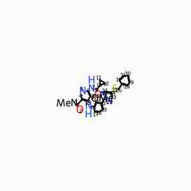 CNC(=O)c1cnc(NC(=O)C2CC2)cc1Nc1cccc(-c2ncc(SCc3ccccc3)cn2)c1OC